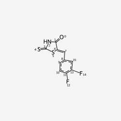 O=C1NC(=S)S/C1=C\c1ccc(F)c(F)c1